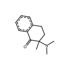 CN(C)C1(C)CCc2ccccc2C1=O